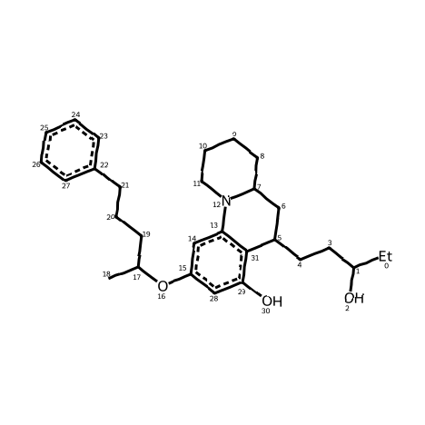 CCC(O)CCC1CC2CCCCN2c2cc(OC(C)CCCc3ccccc3)cc(O)c21